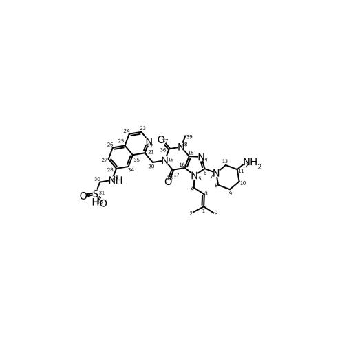 CC(C)=CCn1c(N2CCCC(N)C2)nc2c1c(=O)n(Cc1nccc3ccc(NC[SH](=O)=O)cc13)c(=O)n2C